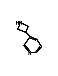 c1cncc(C2CNC2)c1